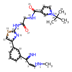 CN/C=C\C(=N)c1cccc(-c2csc(NC(=O)CNC(=O)c3ccn(C(C)(C)C)c3)n2)c1